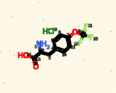 Cl.NC(Cc1ccc(OC(F)(F)F)cc1)C(=O)O